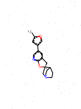 FC(F)(F)c1cc(-c2cnc3c(c2)C[C@@]2(CN4CCC2CC4)O3)co1